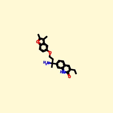 CCc1cc2ccc(C(C)(N)CCOc3ccc4oc(C)c(C)c4c3)cc2[nH]c1=O